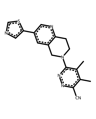 Cc1c(C#N)nnc(N2CCc3ncc(-c4cncs4)cc3C2)c1C